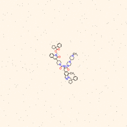 Cc1cc(C[C@@H](NC(=O)N2CCC(c3cc4ccccc4n(COC(=O)C4(c5ccccc5)CCCC4)c3=O)CC2)C(=O)N2CCN(C3CCN(C)CC3)CC2)cc2cnn(CC3(c4ccccc4)CCCC3)c12